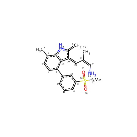 C=c1[nH]c2c(C)ccc(-c3cccc(S(=O)(=O)NC)c3)c2/c1=C/C(C)=C\N